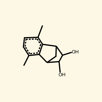 Cc1ccc(C)c2c1C1CC2C(O)C1O